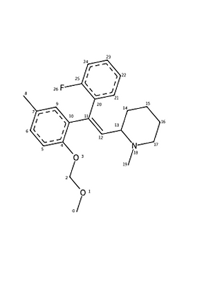 COCOc1ccc(C)cc1/C(=C/C1CCCCN1C)c1ccccc1F